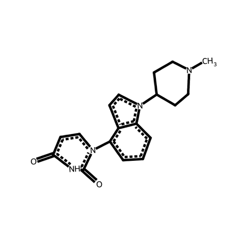 CN1CCC(n2ccc3c(-n4ccc(=O)[nH]c4=O)cccc32)CC1